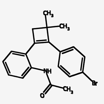 CC(=O)Nc1ccccc1C1=C(c2ccc(Br)cc2)C(C)(C)C1